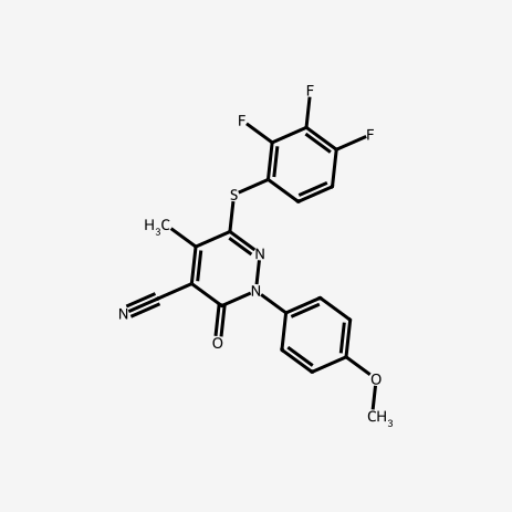 COc1ccc(-n2nc(Sc3ccc(F)c(F)c3F)c(C)c(C#N)c2=O)cc1